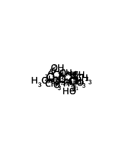 CC1(C)CC[C@]2(CO)CC[C@]3(C)C(C(=O)C[C@@H]4[C@@]5(C)CC(=CO)C(=O)C(C)(C)[C@@H]5CC[C@]43C)C2C1